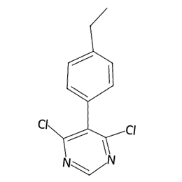 CCc1ccc(-c2c(Cl)ncnc2Cl)cc1